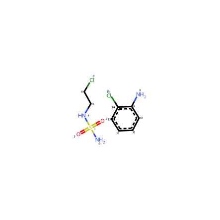 NS(=O)(=O)NCCCl.Nc1ccccc1Cl